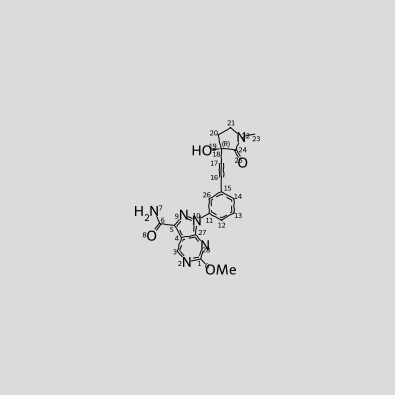 COc1ncc2c(C(N)=O)nn(-c3cccc(C#C[C@]4(O)CCN(C)C4=O)c3)c2n1